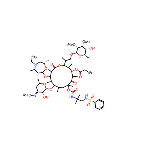 CON=C1C[C@@H](C)O[C@@H](OC2C(C)CC(C)(OC(=O)NC(C)(C)CNS(=O)(=O)c3ccccc3)C(=O)C(C)C(OC(=O)CC(C)C)C(C)C(C(C)CO[C@@H]3O[C@H](C)[C@@H](O)[C@@H](OC)[C@H]3OC)OC(=O)C(C)C(O[C@H]3CC(C)N(CC(C)(C)C)C[C@H](C)O3)C2C)[C@@H]1O